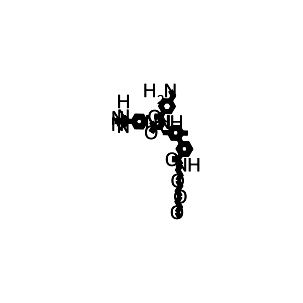 COCCOCCOCCNC(=O)c1cccc(-c2cc(C[C@H](NC(=O)C3CCC(CN)CC3)C(=O)Nc3ccc(-c4nnn[nH]4)cc3)ccc2C)c1